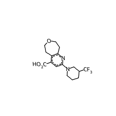 O=C(O)c1cc(N2CCCC(C(F)(F)F)C2)nc2c1CCOCC2